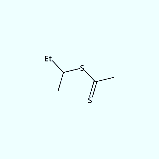 CCC(C)SC(C)=S